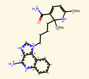 COC1=CC=C(C(N)=O)C(CCCCn2cnc3c(N)nc4ccccc4c32)(OC)N1